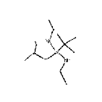 CCN[Si](CC(C)C)(NCC)C(C)(C)C